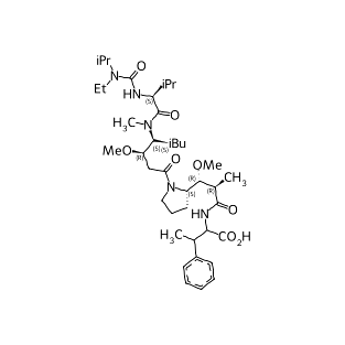 CC[C@H](C)[C@@H]([C@@H](CC(=O)N1CCC[C@H]1[C@H](OC)[C@@H](C)C(=O)NC(C(=O)O)C(C)c1ccccc1)OC)N(C)C(=O)[C@@H](NC(=O)N(CC)C(C)C)C(C)C